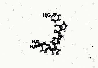 Cc1cc(Cn2cccc2C(=O)Nc2nc([C@H]3CCCN3c3ccc([C@@H](C)N)cc3)cs2)ccn1